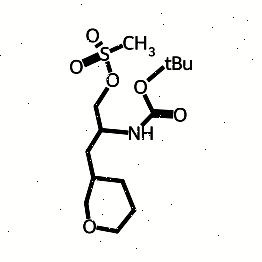 CC(C)(C)OC(=O)NC(COS(C)(=O)=O)CC1CCCOC1